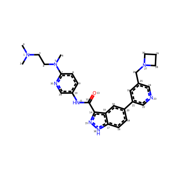 CN(C)CCN(C)c1ccc(NC(=O)c2n[nH]c3ccc(-c4cncc(CN5CCC5)c4)cc23)cn1